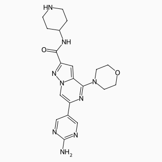 Nc1ncc(-c2cn3nc(C(=O)NC4CCNCC4)cc3c(N3CCOCC3)n2)cn1